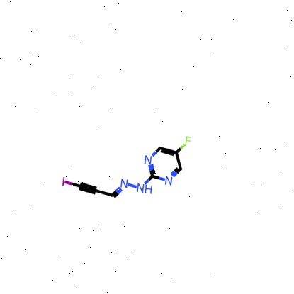 Fc1cnc(NN=CC#CI)nc1